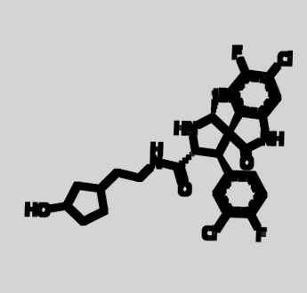 CC(C)(C)[C@H]1N[C@@H](C(=O)NCCC2CCC(O)C2)[C@H](c2ccc(F)c(Cl)c2)[C@@]12C(=O)Nc1cc(Cl)c(F)cc12